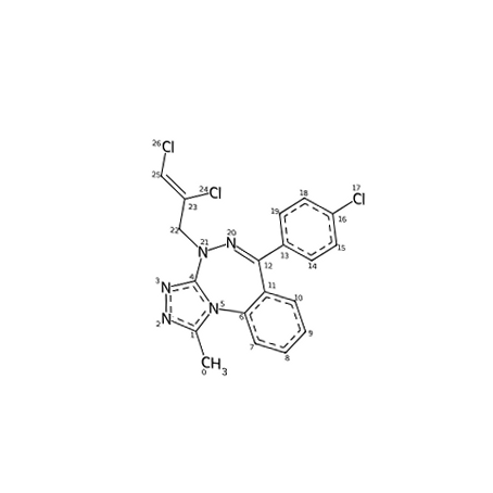 Cc1nnc2n1-c1ccccc1C(c1ccc(Cl)cc1)=NN2CC(Cl)=CCl